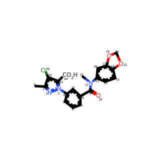 Cc1nn(-c2cccc(C(=O)N(C)c3ccc4c(c3)OCO4)c2)c(C(=O)O)c1Cl